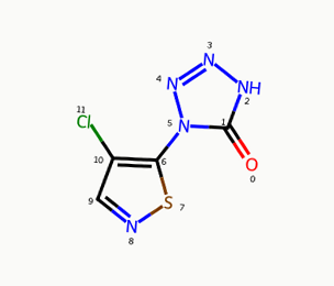 O=c1[nH]nnn1-c1sncc1Cl